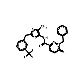 Cc1nc(Cc2cccc(C(F)(F)F)c2)sc1NC(=O)c1ccc(=O)n(Cc2ccccc2)n1